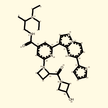 CCN(CC)C(C)CNC(=O)c1cc(-c2cnn3ccc(-c4cccs4)nc23)nc(N2CCC2C(=O)N2CC(O)C2)c1